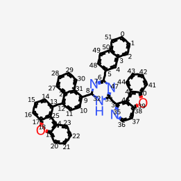 c1ccc2cc(C3=NC(c4ccc(-c5cccc6oc7ccccc7c56)c5ccccc45)NC(c4nccc5oc6ccccc6c45)=N3)ccc2c1